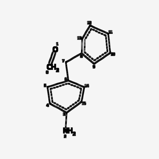 C=O.Nc1ccc(Cc2ccccc2)cc1